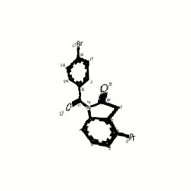 CC(C)c1cccc2c1CC(=O)N2C(=O)c1ccc(Br)cc1